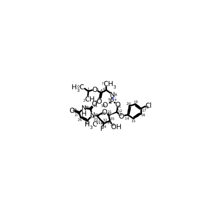 CC(C)OC(=O)C(C)/N=[P+](\[O-])OC(Oc1ccc(Cl)cc1)[C@@H]1O[C@@H](n2ccc(=O)[nH]c2=O)[C@](C)(F)[C@@H]1O